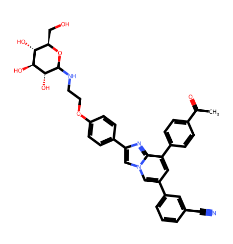 CC(=O)c1ccc(-c2cc(-c3cccc(C#N)c3)cn3cc(-c4ccc(OCCNC5O[C@H](CO)[C@@H](O)[C@H](O)[C@H]5O)cc4)nc23)cc1